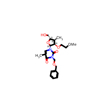 COCCO[C@@H]1[C@H](C)[C@@H](CO)O[C@H]1n1cc(C)c(=O)n(COCc2ccccc2)c1=O